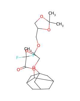 CC1(C)OCC(COC(=O)COC23CC4CC(C2)C(OC(=O)C(C)(F)F)C(C4)C3)O1